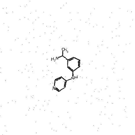 CC(N)c1cccc(Nc2ccncc2)c1